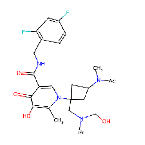 CC(=O)N(C)C1CC(CN(CO)C(C)C)(n2cc(C(=O)NCc3ccc(F)cc3F)c(=O)c(O)c2C)C1